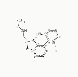 CCNCC1Cc2cccc(-c3c(Cl)cccc3Cl)c2O1